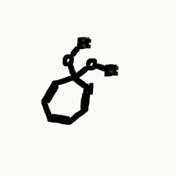 CCOC1(OCC)C=CC=CC=N1